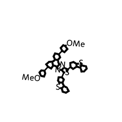 COc1ccc(-c2ccc3c4ccc(-c5ccc(OC)cc5)cc4c4nc5c(-c6ccc7sc8ccccc8c7c6)sc(-c6ccc7sc8ccccc8c7c6)c5nc4c3c2)cc1